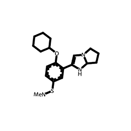 CNSc1ccc(OC2CCCCC2)c(C2=CN3CCCC3N2)c1